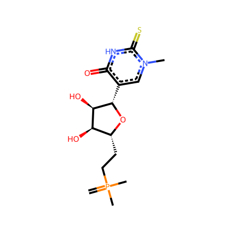 C=P(C)(C)CC[C@H]1O[C@@H](c2cn(C)c(=S)[nH]c2=O)[C@H](O)[C@@H]1O